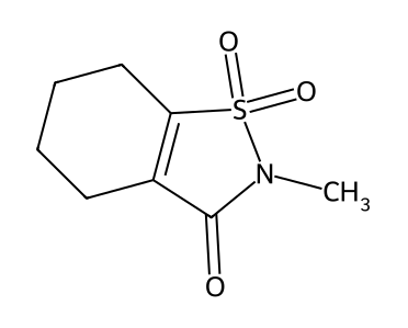 CN1C(=O)C2=C(CCCC2)S1(=O)=O